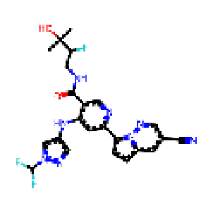 CC(C)(O)C(F)CNC(=O)c1cnc(-c2ccc3cc(C#N)cnn23)cc1Nc1cnn(C(F)F)c1